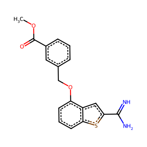 COC(=O)c1cccc(COc2cccc3sc(C(=N)N)cc23)c1